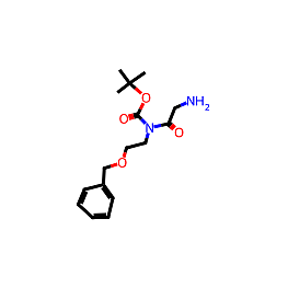 CC(C)(C)OC(=O)N(CCOCc1ccccc1)C(=O)CN